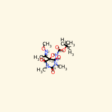 CO/N=C(\C)C1(ONC(=O)OC(C)(C)C)C(=O)N(C)C(=O)N(C)C1=O